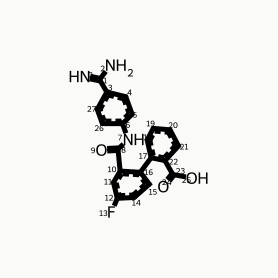 N=C(N)c1ccc(NC(=O)c2cc(F)ccc2-c2ccccc2C(=O)O)cc1